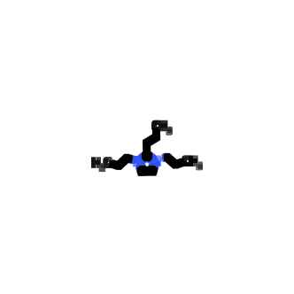 CCCc1n(CCC)cc[n+]1CCC